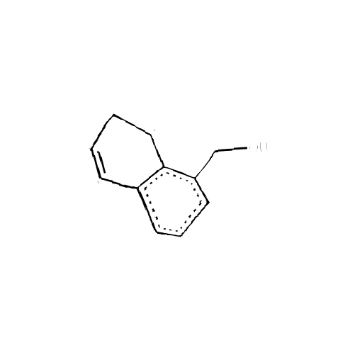 OCc1cccc2c1CCC=C2